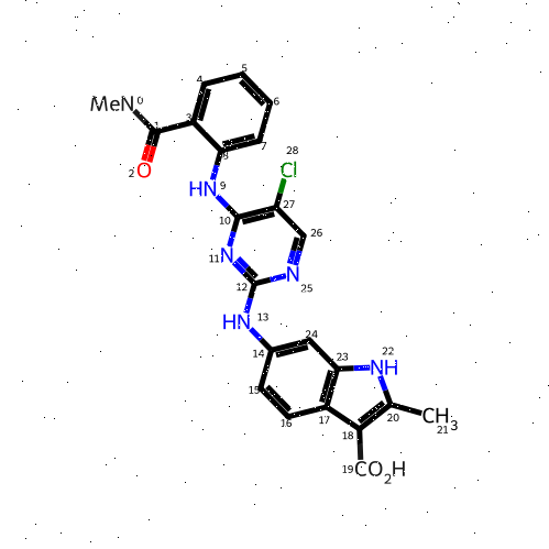 CNC(=O)c1ccccc1Nc1nc(Nc2ccc3c(C(=O)O)c(C)[nH]c3c2)ncc1Cl